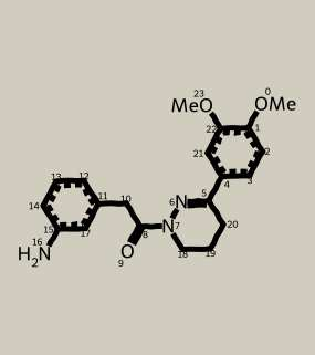 COc1ccc(C2=NN(C(=O)Cc3cccc(N)c3)CCC2)cc1OC